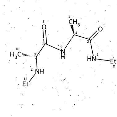 CCNC(=O)[C@H](C)NC(=O)[C@@H](C)NCC